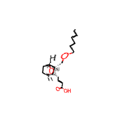 CCCCCCOC[C@@H]1[C@H](CC=CC(=O)O)[C@@H]2CC[C@H]1O2